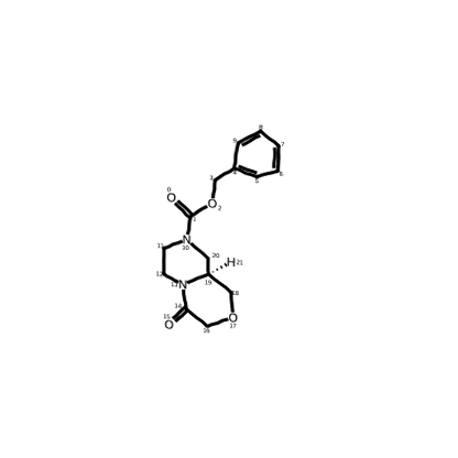 O=C(OCc1ccccc1)N1CCN2C(=O)COC[C@@H]2C1